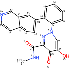 CNC(=O)c1nn(-c2ccccc2-c2ccc3ccncc3c2)cc(O)c1=O